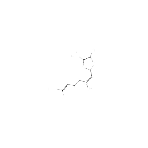 CC(C)=CCCC(C)=CC1SC(C)C(C)S1